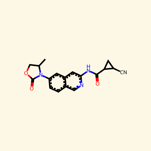 CC1COC(=O)N1c1ccc2cnc(NC(=O)C3CC3C#N)cc2c1